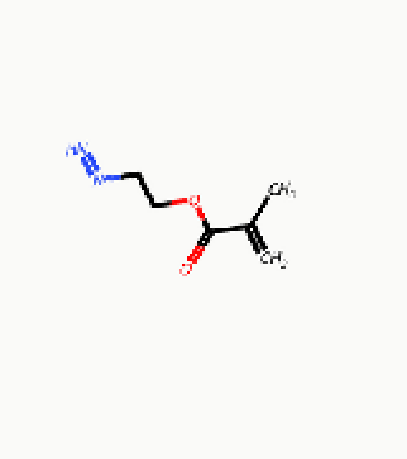 C=C(C)C(=O)OCCN=N